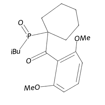 CCC(C)[P](=O)C1(C(=O)c2c(OC)cccc2OC)CCCCC1